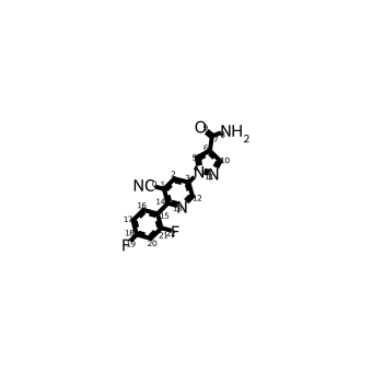 N#Cc1cc(-n2cc(C(N)=O)cn2)cnc1-c1ccc(F)cc1F